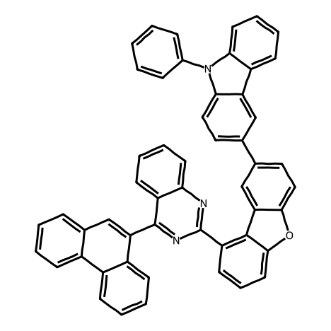 c1ccc(-n2c3ccccc3c3cc(-c4ccc5oc6cccc(-c7nc(-c8cc9ccccc9c9ccccc89)c8ccccc8n7)c6c5c4)ccc32)cc1